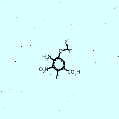 Nc1c(OC(F)F)cc(C(=O)O)c(F)c1[N+](=O)[O-]